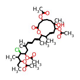 CCC(OC(C)=O)C(C)C(Cl)C(CC(C)/C=C/C=C(\C)C1OC(=O)CC(OC(C)=O)CCC(C)(O)C(OC(C)=O)/C=C/C1C)OC(C)=O